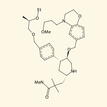 CCO[C@H](C)COCc1ccc([C@H]2C[C@@H](CC(C)(C)C(=O)NC)NC[C@@H]2OCc2ccc3c(c2)N(CCCOC)CCO3)cc1